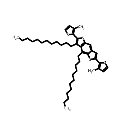 CCCCCCCCCCCCc1c(-c2sccc2C)sc2cc3cc(-c4sccc4C)sc3c(CCCCCCCCCCCC)c12